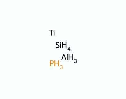 P.[AlH3].[SiH4].[Ti]